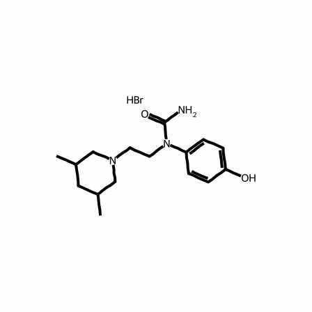 Br.CC1CC(C)CN(CCN(C(N)=O)c2ccc(O)cc2)C1